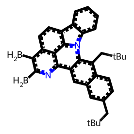 Bc1nc2c3cc4cc(CC(C)(C)C)ccc4c(CC(C)(C)C)c3n3c4ccccc4c4ccc(c1B)c2c43